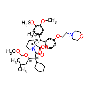 CCC(c1cccc(OCCN2CCOCC2)c1)[C@@]1(C(=O)O)[C@@H](c2ccc(OC)c(OC)c2)CCCN1C(=O)[C@@H](C1CCCCC1)[C@@H](CC(C)C)OCOC